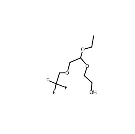 CCOC(COCC(F)(F)F)OCCO